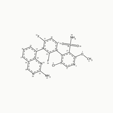 COc1ncc(Cl)c(-c2ccc(F)c(-c3cccc4cnc(N)nc34)c2F)c1S(N)(=O)=O